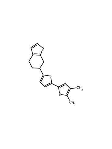 Cc1cc(-c2ccc(C3CCc4ccsc4C3)s2)sc1C